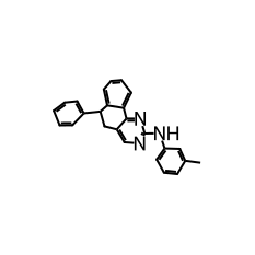 Cc1cccc(Nc2ncc3c(n2)-c2ccccc2C(c2ccccc2)C3)c1